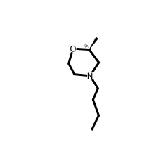 CCCCN1CCO[C@@H](C)C1